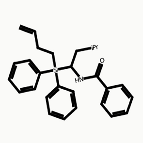 C=CCC[Si](c1ccccc1)(c1ccccc1)C(CC(C)C)NC(=O)c1ccccc1